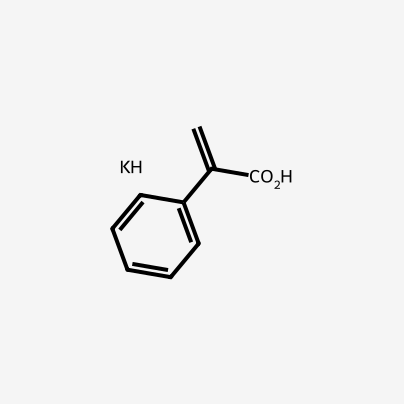 C=C(C(=O)O)c1ccccc1.[KH]